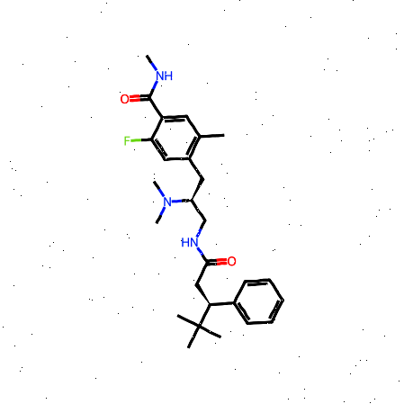 CNC(=O)c1cc(C)c(C[C@@H](CNC(=O)C[C@@H](c2ccccc2)C(C)(C)C)N(C)C)cc1F